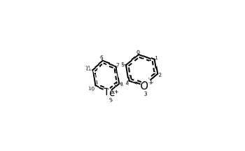 c1cc[o+]cc1.c1cc[te+]cc1